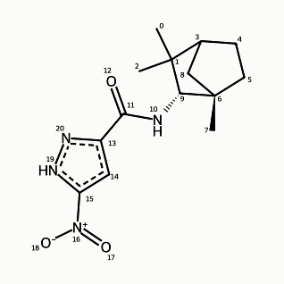 CC1(C)C2CC[C@@](C)(C2)[C@@H]1NC(=O)c1cc([N+](=O)[O-])[nH]n1